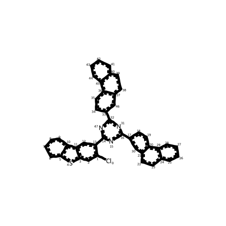 Clc1cc2sc3ccccc3c2cc1-c1nc(-c2ccc3c(ccc4ccccc43)c2)nc(-c2ccc3c(ccc4ccccc43)c2)n1